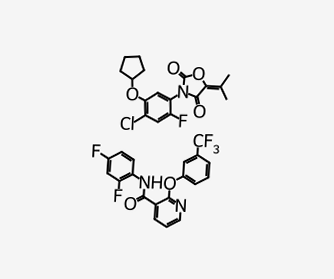 CC(C)=C1OC(=O)N(c2cc(OC3CCCC3)c(Cl)cc2F)C1=O.O=C(Nc1ccc(F)cc1F)c1cccnc1Oc1cccc(C(F)(F)F)c1